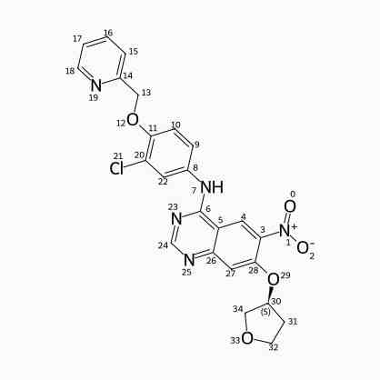 O=[N+]([O-])c1cc2c(Nc3ccc(OCc4ccccn4)c(Cl)c3)ncnc2cc1O[C@H]1CCOC1